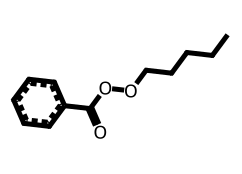 CCCCCOOC(=O)c1ccccc1